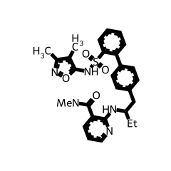 CCC(Cc1ccc(-c2ccccc2S(=O)(=O)Nc2onc(C)c2C)cc1)Nc1ncccc1C(=O)NC